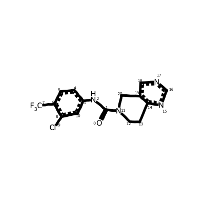 O=C(Nc1ccc(C(F)(F)F)c(Cl)c1)N1CCc2ncncc2C1